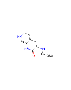 COBNC1CC2=CCNC=C2NC1=O